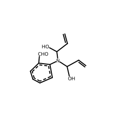 C=CC(O)N(c1ccccc1C=O)C(O)C=C